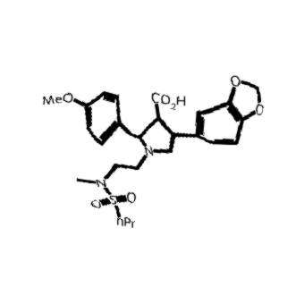 CCCS(=O)(=O)N(C)CCN1CC(c2ccc3c(c2)OCO3)C(C(=O)O)C1c1ccc(OC)cc1